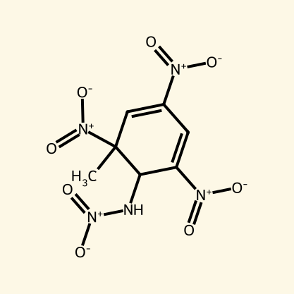 CC1([N+](=O)[O-])C=C([N+](=O)[O-])C=C([N+](=O)[O-])C1N[N+](=O)[O-]